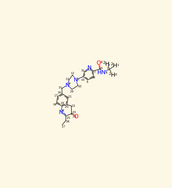 [2H]C([2H])([2H])NC(=O)c1ccc(N2CCN(Cc3ccc4c(c3)CC(=O)C(CC)=N4)CC2)cn1